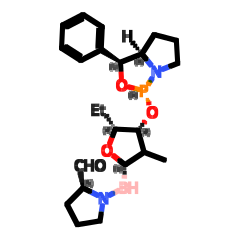 CC[C@H]1O[C@@H](BN2CCC[C@H]2C=O)C(C)[C@H]1O[P@]1O[C@@H](c2ccccc2)[C@H]2CCCN21